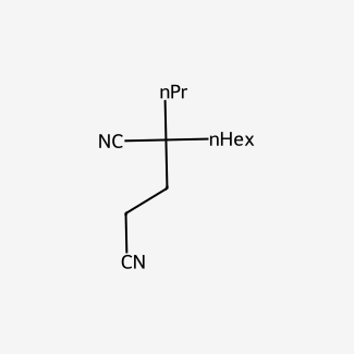 CCCCCCC(C#N)(CCC)CCC#N